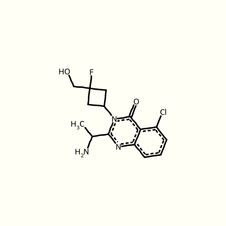 CC(N)c1nc2cccc(Cl)c2c(=O)n1C1CC(F)(CO)C1